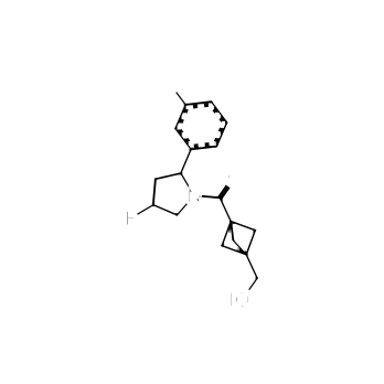 O=C(N1CC(F)CC1c1cccc(F)c1)C12CC(CO)(C1)C2